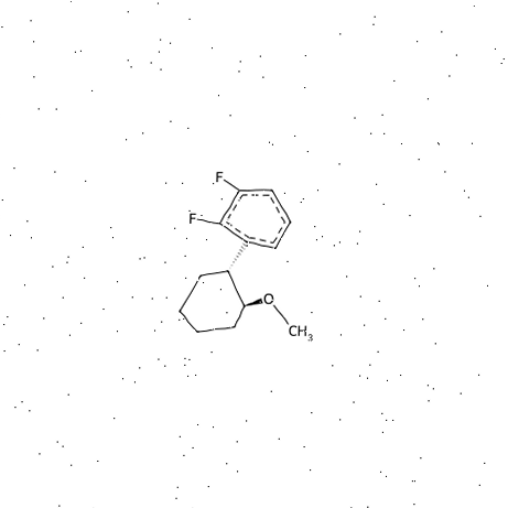 CO[C@H]1CCCC[C@@H]1c1cccc(F)c1F